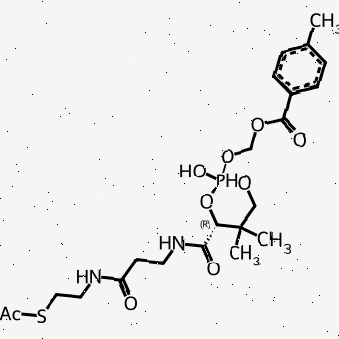 CC(=O)SCCNC(=O)CCNC(=O)[C@@H]1O[PH](O)(OCOC(=O)c2ccc(C)cc2)OCC1(C)C